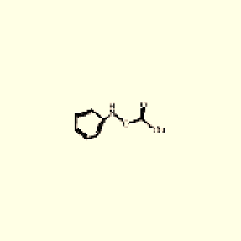 CC(C)(C)C(=O)ONc1ccccc1